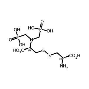 N[C@@H](CSSC[C@@H](C(=O)O)N(CP(=O)(O)O)CP(=O)(O)O)C(=O)O